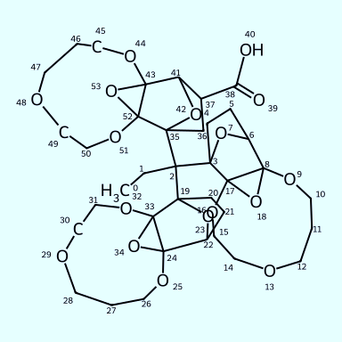 CCC(C12CCC(O1)C13OCCCOCCOC12O3)(C12CCC(O1)C13OCCCOCCOC12O3)C12CC(C(=O)O)C(O1)C13OCCCOCCOC12O3